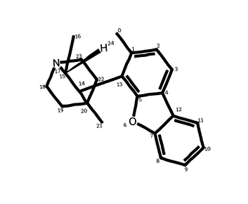 Cc1ccc2c(oc3ccccc32)c1C1[C@@H](C)N2CCC1(C)CC2